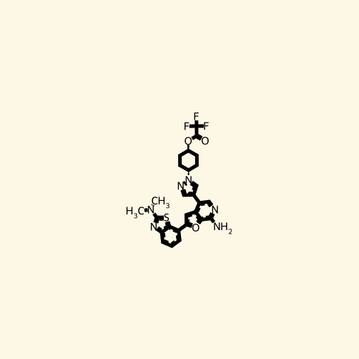 CN(C)c1nc2cccc(-c3cc4c(-c5cnn([C@H]6CC[C@H](OC(=O)C(F)(F)F)CC6)c5)cnc(N)c4o3)c2s1